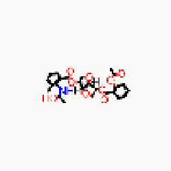 CC(=O)Oc1ccccc1C(=O)OC1CO[C@H]2[C@@H]1OC[C@H]2OC(=O)c1cccc(C)c1NC(C)O